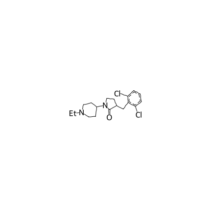 CCN1CCC(N2CCC(Cc3c(Cl)cccc3Cl)C2=O)CC1